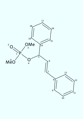 COP(=O)(OC)OC(C=Cc1ccccc1)c1ccccc1